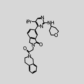 CC(C)c1cnc(NC2CCOCC2)nc1-c1ccc2c(c1)C(=O)N(CC(=O)N1CCc3ccccc3C1)C2